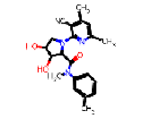 Cc1cccc(N(C)C(=O)C2C(O)C(O)CN2c2nc(C)cc(C)c2C#N)c1